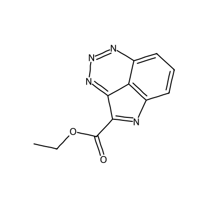 CCOC(=O)C1=Nc2cccc3nnnc1c23